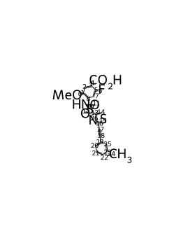 COc1cc(C(=O)O)c(F)cc1NS(=O)(=O)c1csc(C#Cc2cccc(C)c2)n1